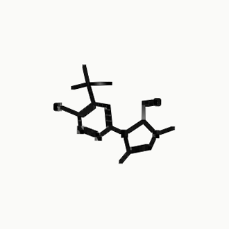 CC1=CN(C)C(C=O)N1c1cc(C(C)(C)C)c(Cl)nn1